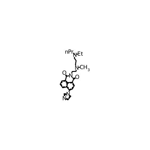 CCCN(CC)CCCN(C)CCN1C(=O)c2cccc3c(-n4ccnc4)ccc(c23)C1=O